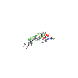 [CH2]CN(C(C)C)S(=O)(=O)C(F)(F)C(F)(F)C(F)(F)C(F)(F)C(F)(F)C(F)(F)C(F)(F)C(F)(F)F